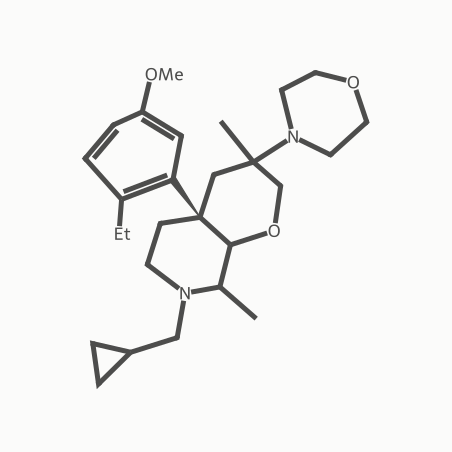 CCc1ccc(OC)cc1[C@]12CCN(CC3CC3)C(C)C1OCC(C)(N1CCOCC1)C2